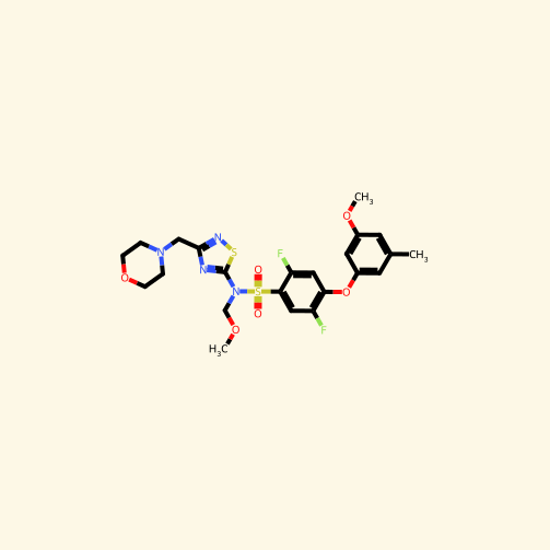 COCN(c1nc(CN2CCOCC2)ns1)S(=O)(=O)c1cc(F)c(Oc2cc(C)cc(OC)c2)cc1F